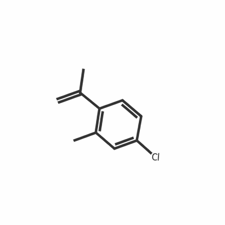 C=C(C)c1ccc(Cl)cc1C